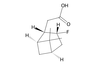 CC1(C)[C@H]2C[C@@H](F)[C@@H](CC(=O)O)[C@@H]1C2